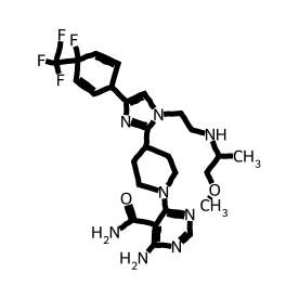 COCC(C)NCCn1cc(C2C=CC(F)(C(F)(F)F)C=C2)nc1C1CCN(c2ncnc(N)c2C(N)=O)CC1